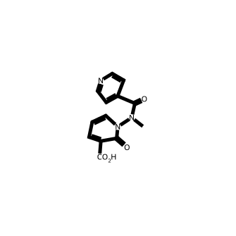 CN(C(=O)c1ccncc1)n1cccc(C(=O)O)c1=O